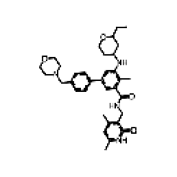 CCC1CC(Nc2cc(-c3ccc(CN4CCOCC4)cc3)cc(C(=O)NCc3c(C)cc(C)[nH]c3=O)c2C)CCO1